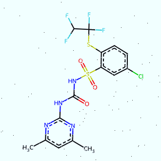 Cc1cc(C)nc(NC(=O)NS(=O)(=O)c2cc(Cl)ccc2SC(F)(F)C(F)F)n1